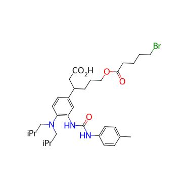 Cc1ccc(NC(=O)Nc2cc(C(CCCOC(=O)CCCCBr)CC(=O)O)ccc2N(CC(C)C)CC(C)C)cc1